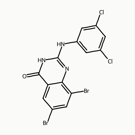 O=c1[nH]c(Nc2cc(Cl)cc(Cl)c2)nc2c(Br)cc(Br)cc12